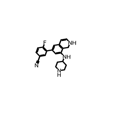 N#Cc1ccc(F)c(-c2cc3c(c(NC4CCNCC4)c2)CNC=C3)c1